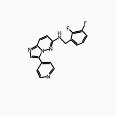 Fc1cccc(CNc2ccc3ncc(-c4ccncc4)n3n2)c1F